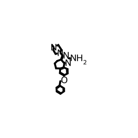 CN1CCN(c2nc(N)nc3c2CCCc2cc(OCc4ccccc4)ccc2-3)CC1